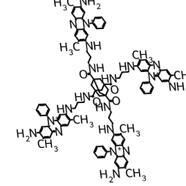 Cc1cc2nc3cc(C)c(NCCCNC(=O)C45CC6(C(=O)NCCCNc7cc8c(cc7C)nc7cc(C)c(N)cc7[n+]8-c7ccccc7)CC(C(=O)NCCCNc7cc8c(cc7C)nc7cc(C)c(N)cc7[n+]8-c7ccccc7)(C4)CC(C(=O)NCCCNc4cc7c(cc4C)nc4cc(C)c(N)cc4[n+]7-c4ccccc4)(C5)C6)cc3[n+](-c3ccccc3)c2cc1N